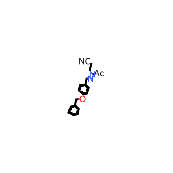 CC(=O)N(CCC#N)N=Cc1ccc(OCc2ccccc2)cc1